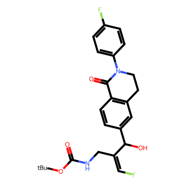 CC(C)(C)OC(=O)NC/C(=C/F)C(O)c1ccc2c(c1)CCN(c1ccc(F)cc1)C2=O